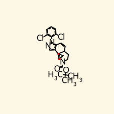 CC(C)(C)OC(=O)N1CCC(/C=C\c2c(C3CC3)cnn2-c2c(Cl)cccc2Cl)CC1